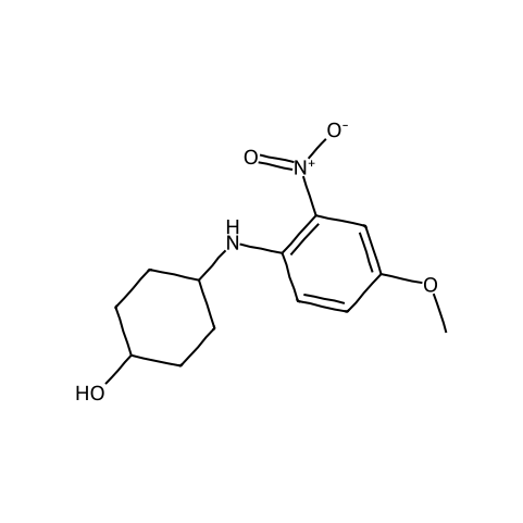 COc1ccc(NC2CCC(O)CC2)c([N+](=O)[O-])c1